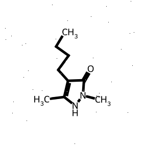 CCCCc1c(C)[nH]n(C)c1=O